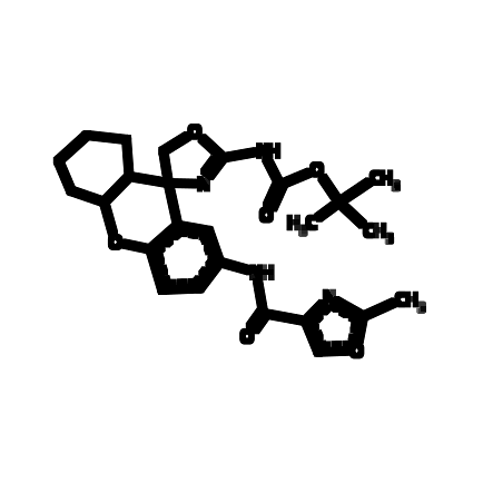 Cc1nc(C(=O)Nc2ccc3c(c2)C2(COC(NC(=O)OC(C)(C)C)=N2)C2CCCCC2O3)co1